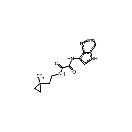 O=C(NCCC1(C(F)(F)F)CC1)C(=O)Nc1c[nH]c2cccnc12